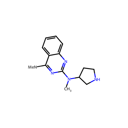 CNc1nc(N(C)C2CCNC2)nc2ccccc12